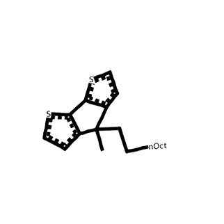 CCCCCCCCCCC1(C)c2ccsc2-c2sccc21